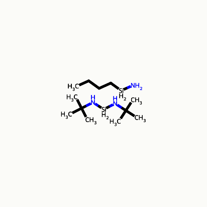 CC(C)(C)N[SiH2]NC(C)(C)C.CCCC[SiH2]N